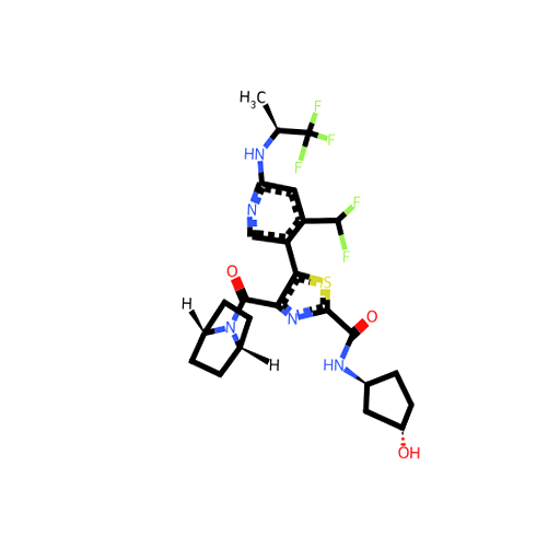 C[C@H](Nc1cc(C(F)F)c(-c2sc(C(=O)N[C@H]3CC[C@H](O)C3)nc2C(=O)N2[C@H]3CC[C@@H]2CC3)cn1)C(F)(F)F